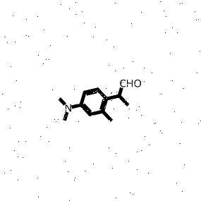 Cc1cc(N(C)C)ccc1C(C)C=O